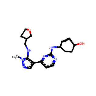 Cn1ncc(-c2ccnc(NC3CCC(O)CC3)n2)c1NCC1CCOC1